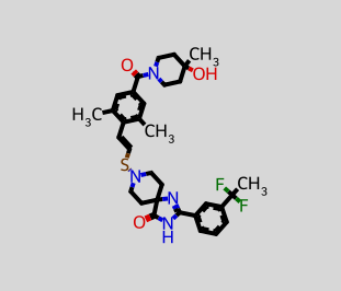 Cc1cc(C(=O)N2CCC(C)(O)CC2)cc(C)c1/C=C/SN1CCC2(CC1)N=C(c1cccc(C(C)(F)F)c1)NC2=O